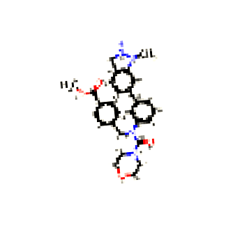 COC(=O)c1ccc(CN(C(=O)N2CCOCC2)c2cccc(-c3ccc4c(c3)N(C)NC4)c2)cc1